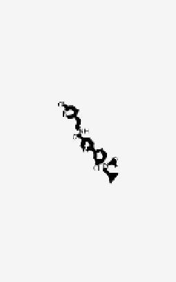 CC(=O)N(CC1CC1)c1ccc(-c2ccc(C(=O)NCCc3ccc(Cl)nc3)cn2)cc1Cl